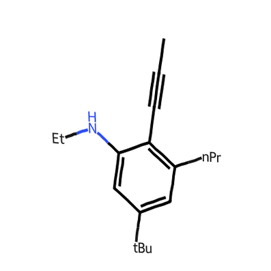 CC#Cc1c(CCC)cc(C(C)(C)C)cc1NCC